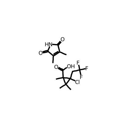 CC1(C)C(Cl)(CC(F)(F)F)C1(C)C(=O)O.CC1=C(C)C(=O)NC1=O